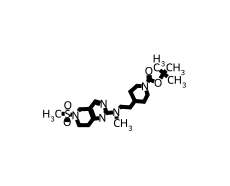 CN(CCC1CCN(C(=O)OC(C)(C)C)CC1)c1ncc2c(n1)CCN(S(C)(=O)=O)C2